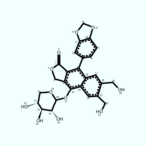 O=C1OCc2c1c(-c1ccc3c(c1)OCO3)c1cc(CO)c(CO)cc1c2OC1OC[C@@H](O)[C@H](O)[C@H]1O